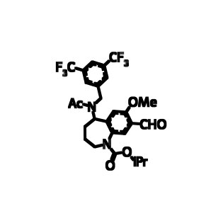 COc1cc2c(cc1C=O)N(C(=O)OC(C)C)CCCC2N(Cc1cc(C(F)(F)F)cc(C(F)(F)F)c1)C(C)=O